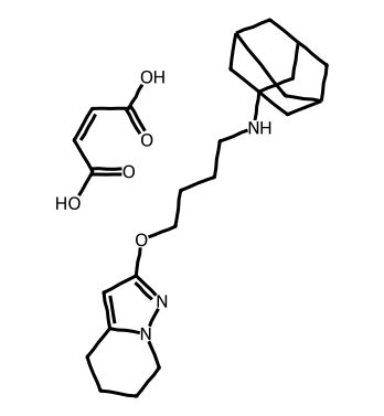 O=C(O)/C=C\C(=O)O.c1c(OCCCCNC23CC4CC(CC(C4)C2)C3)nn2c1CCCC2